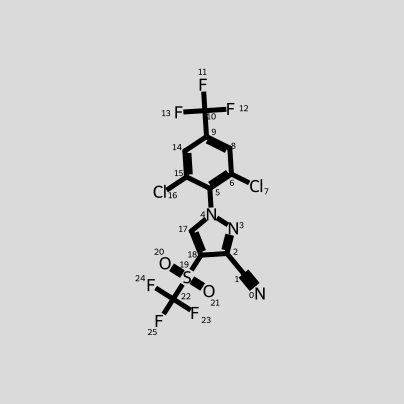 N#Cc1nn(-c2c(Cl)cc(C(F)(F)F)cc2Cl)cc1S(=O)(=O)C(F)(F)F